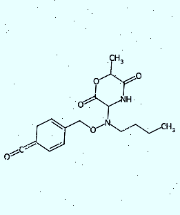 CCCCN(OCC1=CCC(=C=O)C=C1)C1NC(=O)C(C)OC1=O